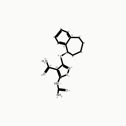 NC(=O)Nc1snc(S[C@@H]2CCCCc3ccccc32)c1C(N)=O